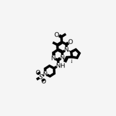 C=C[C@]1(C)CCC[C@H]1n1c(=O)c(C(C)=O)c(C)c2cnc(NC3CCN(S(C)(=O)=O)CC3)nc21